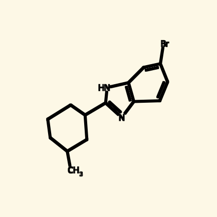 CC1CCCC(c2nc3ccc(Br)cc3[nH]2)C1